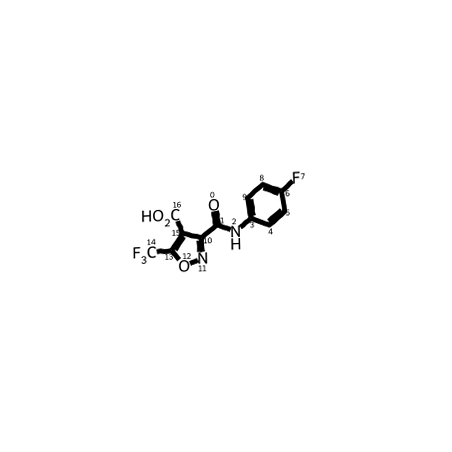 O=C(Nc1ccc(F)cc1)c1noc(C(F)(F)F)c1C(=O)O